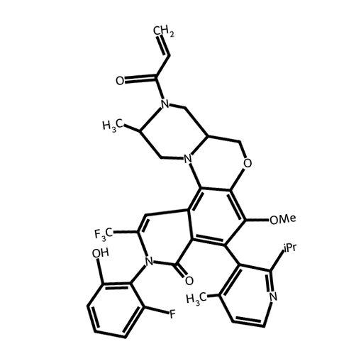 C=CC(=O)N1CC2COc3c(OC)c(-c4c(C)ccnc4C(C)C)c4c(=O)n(-c5c(O)cccc5F)c(C(F)(F)F)cc4c3N2CC1C